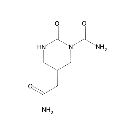 NC(=O)CC1CNC(=O)N(C(N)=O)C1